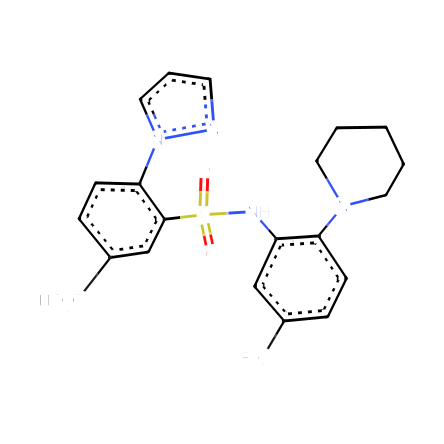 O=C(O)c1ccc(-n2cccn2)c(S(=O)(=O)Nc2cc(C(F)(F)F)ccc2N2CCCCC2)c1